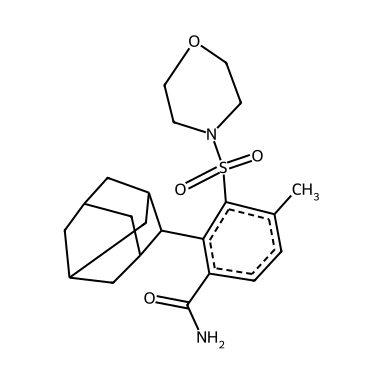 Cc1ccc(C(N)=O)c(C2C3CC4CC(C3)CC2C4)c1S(=O)(=O)N1CCOCC1